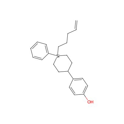 C=CCCC[Si]1(c2ccccc2)CCC(c2ccc(O)cc2)CC1